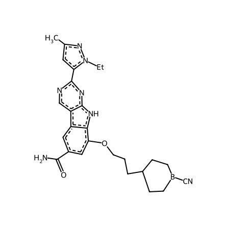 CCn1nc(C)cc1-c1ncc2c(n1)[nH]c1c(OCCCC3CCB(C#N)CC3)cc(C(N)=O)cc12